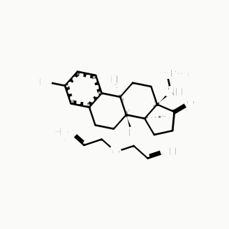 C=CCOCC=C.CCCCCN[C@]12CC[C@@H]3c4ccc(O)cc4CC[C@H]3[C@@H]1CCC2=O